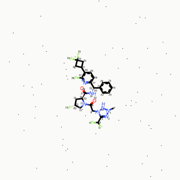 CN1N=C(C(F)F)N(CC(=O)N2C[C@H](F)C[C@H]2C(=O)N[C@@H](c2ccccc2)c2ccc(C3CC(F)(F)C3)c(F)n2)N1